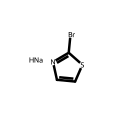 Brc1nccs1.[NaH]